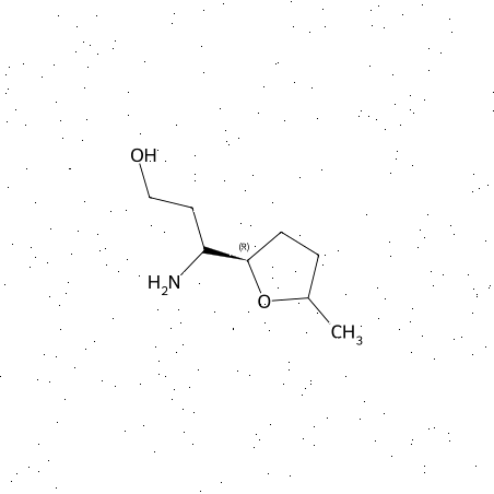 CC1CC[C@H](C(N)CCO)O1